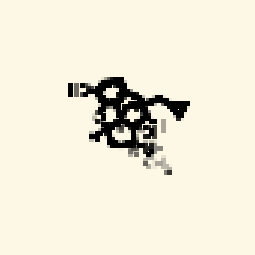 CN[C@H]1CC[C@@H]2Oc3c(O)ccc4c3[C@@]23CCN(CC2CC2)[C@H](C4)[C@]13O